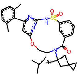 [2H]C1(N2C(=O)c3cccc(c3)S(=O)(=O)Nc3nc(cc(-c4c(C)cccc4C)n3)OC[C@H]2CC(C)C)CC2(CC2)C1